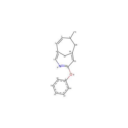 CC1C=CC2=CN=C(Oc3ccccc3)C=C(C2)C1